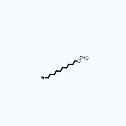 O=[C]OCCCCCCCCCCBr